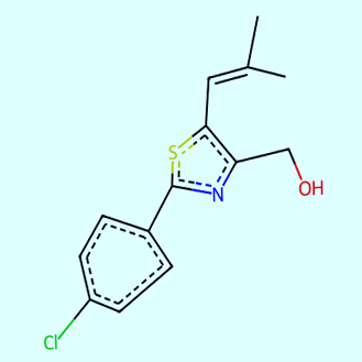 CC(C)=Cc1sc(-c2ccc(Cl)cc2)nc1CO